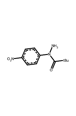 CC(C)(C)C(=O)N(N)c1ccc([N+](=O)[O-])cc1